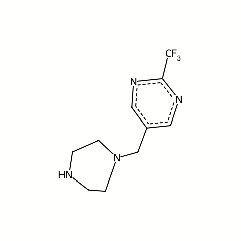 FC(F)(F)c1ncc(CN2CCNCC2)cn1